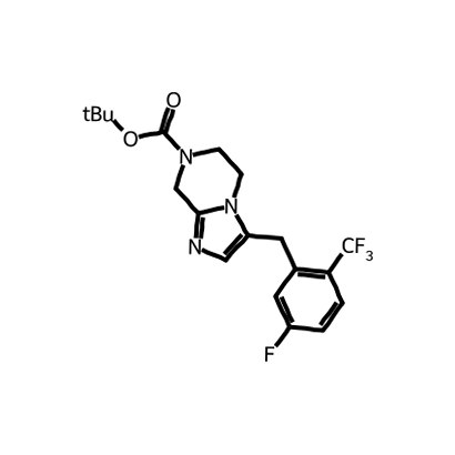 CC(C)(C)OC(=O)N1CCn2c(Cc3cc(F)ccc3C(F)(F)F)cnc2C1